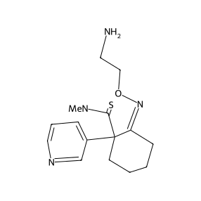 CNC(=S)C1(c2cccnc2)CCCC/C1=N/OCCN